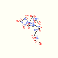 O=C(O)CCC(NC(=O)NC(CCCCNc1c(NCCN(CCNC(=O)CN2CCN(CC(=O)O)CCN(CC(=O)O)CCN(CC(=O)O)CC2)CCNc2c(NCCCCC(NC(=O)NC(CCC(=O)O)C(=O)O)C(=O)O)c(=O)c2=O)c(=O)c1=O)C(=O)O)C(=O)O